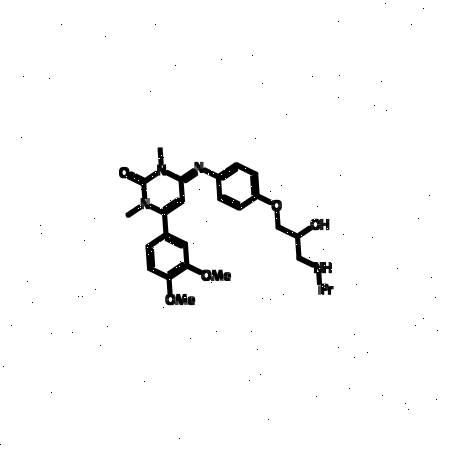 COc1ccc(-c2cc(=Nc3ccc(OCC(O)CNC(C)C)cc3)n(C)c(=O)n2C)cc1OC